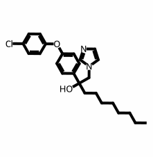 CCCCCCCCC(O)(Cn1ccnc1)c1ccc(Oc2ccc(Cl)cc2)cc1